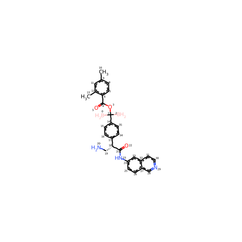 BC(B)(OC(=O)c1ccc(C)cc1C)c1ccc([C@@H](CN)C(=O)Nc2ccc3cnccc3c2)cc1